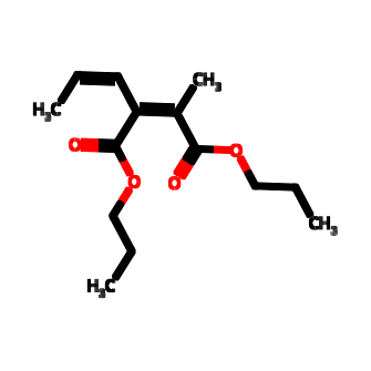 C/C=C\C(C(=O)OCCC)=C(/C)C(=O)OCCC